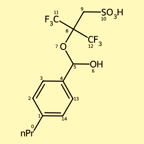 CCCc1ccc(C(O)OC(CS(=O)(=O)O)(C(F)(F)F)C(F)(F)F)cc1